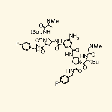 CNCC(=O)N[C@H](C(=O)N1C[C@@H](NC(=O)c2cc(N)cc(C(=O)N[C@H]3C[C@@H](C(=O)NCc4ccc(F)cc4)N(C(=O)[C@@H](NC(=O)[C@H](C)NC)C(C)(C)C)C3)c2)C[C@H]1C(=O)NCc1ccc(F)cc1)C(C)(C)C